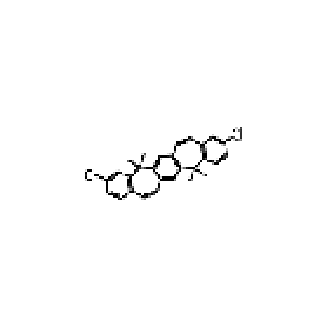 CC1(C)c2ccc(Cl)cc2C=Cc2cc3c(cc21)C=Cc1ccc(Cl)cc1C3(C)C